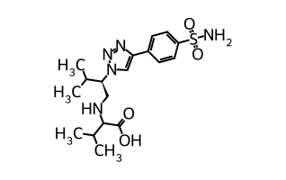 CC(C)C(NC[C@@H](C(C)C)n1cc(-c2ccc(S(N)(=O)=O)cc2)nn1)C(=O)O